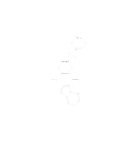 COc1ccc(S(=O)(=O)c2ccccc2)cc1C(N)c1occ2ccccc12